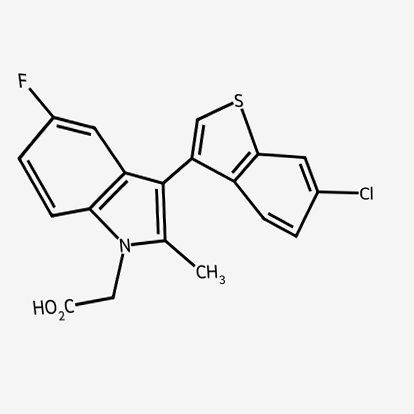 Cc1c(-c2csc3cc(Cl)ccc23)c2cc(F)ccc2n1CC(=O)O